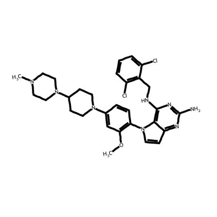 COc1cc(N2CCC(N3CCN(C)CC3)CC2)ccc1-n1ccc2nc(N)nc(NCc3c(Cl)cccc3Cl)c21